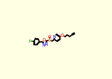 C#CCCCOc1ccc(C[S+]([O-])c2nnc(-c3ccc(F)cc3)o2)nc1